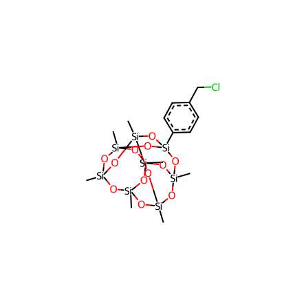 C[Si]12O[Si]3(C)O[Si]4(C)O[Si](C)(O1)O[Si]1(C)O[Si](C)(O2)O[Si](C)(O3)O[Si](c2ccc(CCl)cc2)(O4)O1